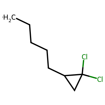 [CH2]CCCCC1CC1(Cl)Cl